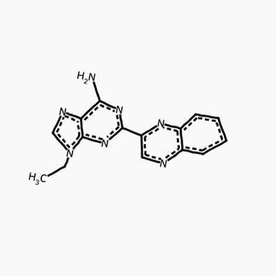 CCn1cnc2c(N)nc(-c3cnc4ccccc4n3)nc21